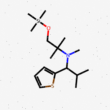 CC(C)C(c1cccs1)N(C)C(C)(C)CO[Si](C)(C)C